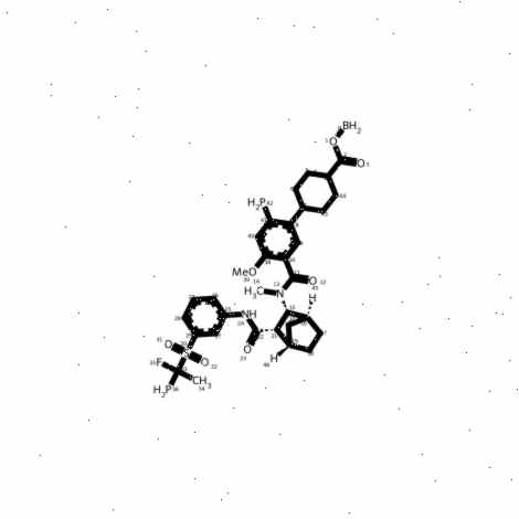 BOC(=O)C1CCC(c2cc(C(=O)N(C)[C@@H]3[C@H]4CC[C@@H](C4)[C@@H]3C(=O)Nc3cccc(S(=O)(=O)C(C)(F)P)c3)c(OC)cc2P)CC1